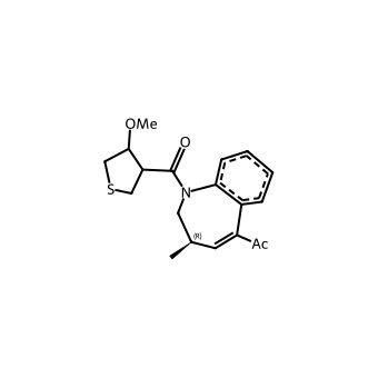 COC1CSCC1C(=O)N1C[C@H](C)C=C(C(C)=O)c2ccccc21